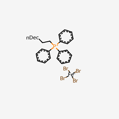 CCCCCCCCCCCC[P+](c1ccccc1)(c1ccccc1)c1ccccc1.[Br][Fe-]([Br])([Br])[Br]